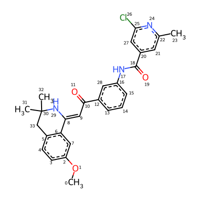 COc1ccc2c(c1)C(=CC(=O)c1cccc(NC(=O)c3cc(C)nc(Cl)c3)c1)NC(C)(C)C2